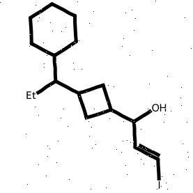 CCC(C1CCCCC1)C1CC(C(O)C=CI)C1